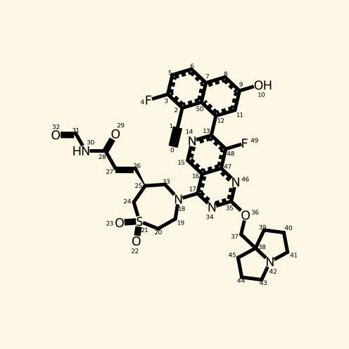 C#Cc1c(F)ccc2cc(O)cc(-c3ncc4c(N5CCS(=O)(=O)C[C@@H](C=CC(=O)NC=O)C5)nc(OCC56CCCN5CCC6)nc4c3F)c12